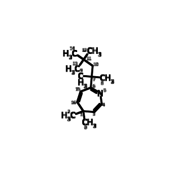 CC1(C)C=CN=C(C(C)(C)CC(C)(C)C)C=C1